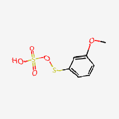 COc1cccc(SOS(=O)(=O)O)c1